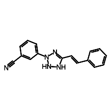 N#Cc1cccc(N2N=C(/C=C/c3ccccc3)NN2)c1